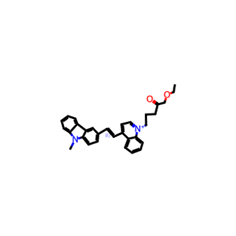 CCOCC(=O)CCC[n+]1ccc(/C=C/c2ccc3c(c2)c2ccccc2n3C)c2ccccc21